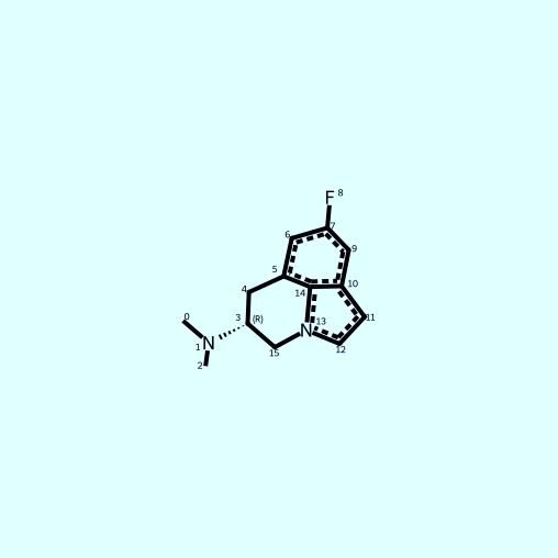 CN(C)[C@@H]1Cc2cc(F)cc3ccn(c23)C1